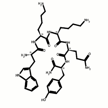 NCCCC[C@H](NC(=O)[C@H](CCCCN)NC(=O)[C@@H](N)Cc1c[nH]c2ccccc12)C(=O)N[C@@H](CCC(N)=O)C(=O)N[C@@H](Cc1ccc(O)cc1)C(N)=O